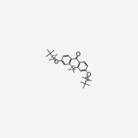 CC(C)(C)[Si](C)(C)Oc1ccc2c(c1)[Si](C)(C)c1cc(O[Si](C)(C)C(C)(C)C)ccc1C2=O